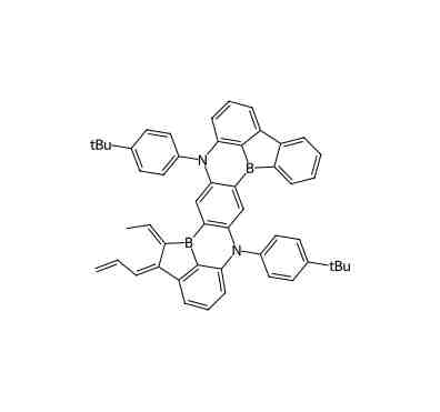 C=C/C=C1\C(=C/C)B2c3cc4c(cc3N(c3ccc(C(C)(C)C)cc3)c3cccc1c32)B1c2ccccc2-c2cccc(c21)N4c1ccc(C(C)(C)C)cc1